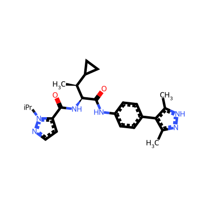 Cc1n[nH]c(C)c1-c1ccc(NC(=O)[C@@H](NC(=O)c2ccnn2C(C)C)[C@@H](C)C2CC2)cc1